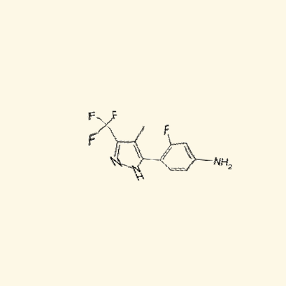 Cc1c(C(F)(F)F)n[nH]c1-c1ccc(N)cc1F